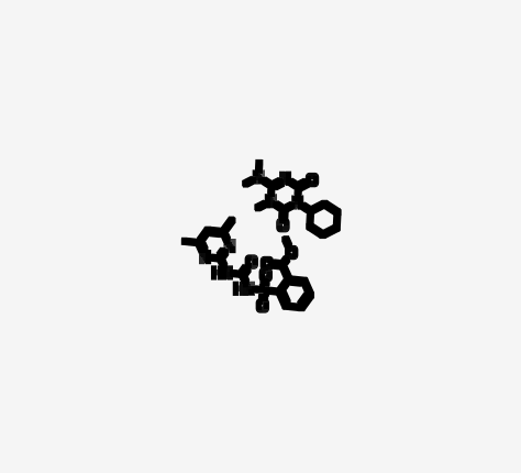 CN(C)c1nc(=O)n(C2CCCCC2)c(=O)n1C.COC(=O)c1ccccc1S(=O)(=O)NC(=O)Nc1nc(C)cc(C)n1